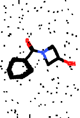 O=C(c1c[c]ccc1)N1CC(O)C1